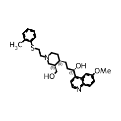 COc1ccc2nccc([C@@H](O)CC[C@@H]3CCN(CCSc4ccccc4C)C[C@@H]3CO)c2c1